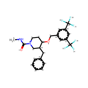 CNC(=O)N1CCC(OCc2cc(C(F)(F)F)cc(C(F)(F)F)c2)C(Cc2ccccc2)C1